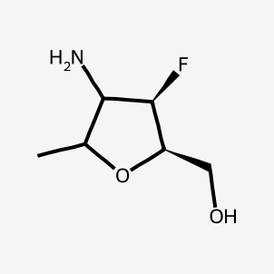 CC1O[C@H](CO)[C@H](F)C1N